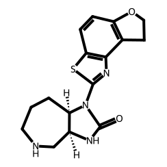 O=C1N[C@H]2CNCCC[C@H]2N1c1nc2c3c(ccc2s1)OCC3